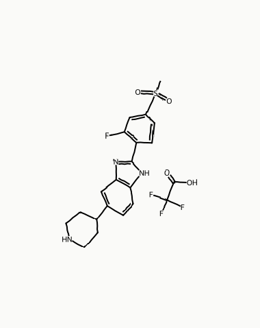 CS(=O)(=O)c1ccc(-c2nc3cc(C4CCNCC4)ccc3[nH]2)c(F)c1.O=C(O)C(F)(F)F